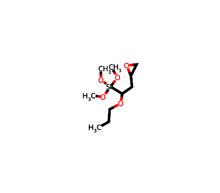 CCCOC(CC1CO1)[Si](OC)(OC)OC